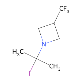 CC(C)(I)N1CC(C(F)(F)F)C1